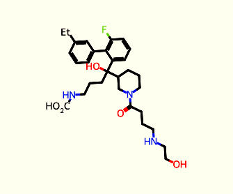 CCc1cccc(-c2c(F)cccc2C(O)(CCCNC(=O)O)C2CCCN(C(=O)CCCNCCO)C2)c1